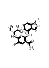 CC(C)C[C@@H](Nc1nc(Nc2cccc3c2cnn3C)c(C(N)=O)cc1F)[C@H](C)N